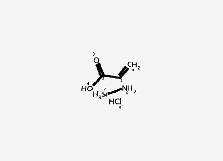 C=CC(=O)O.Cl.N[SiH3]